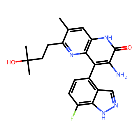 Cc1cc2[nH]c(=O)c(N)c(-c3ccc(F)c4[nH]ncc34)c2nc1CCC(C)(C)O